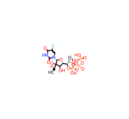 C#CC1(O)C(O)[C@@H]([C@H](C)OP(=O)(O)OP(=O)(O)OP(=O)(O)O)O[C@H]1n1cc(F)c(=O)[nH]c1=O